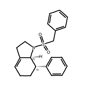 O=S(=O)(Cc1ccccc1)N1CCC2=CCC[C@@H](c3ccccc3)[C@@H]21